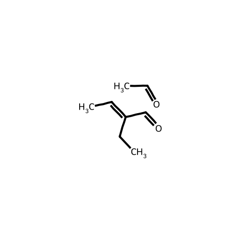 C/C=C(/C=O)CC.CC=O